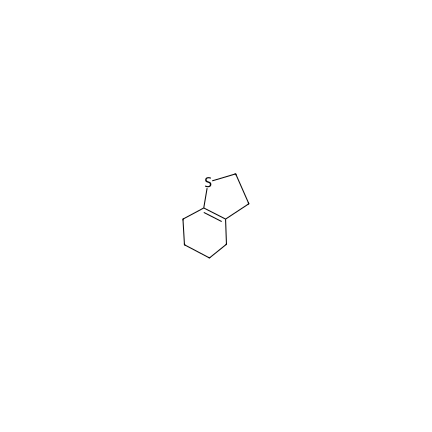 C1CCC2=C(C1)CCS2